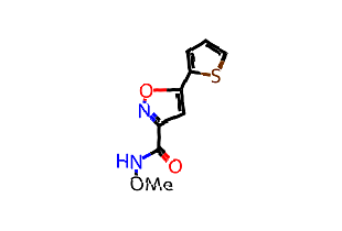 CONC(=O)c1cc(-c2cccs2)on1